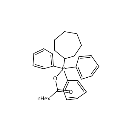 CCCCCCC(=O)OP(c1ccccc1)(c1ccccc1)(c1ccccc1)C1CCCCCC1